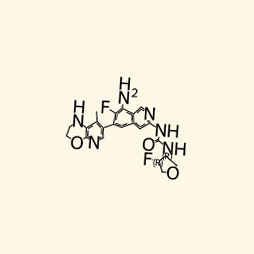 Cc1c(-c2cc3cc(NC(=O)N[C@@H]4COC[C@@H]4F)ncc3c(N)c2F)cnc2c1NCCO2